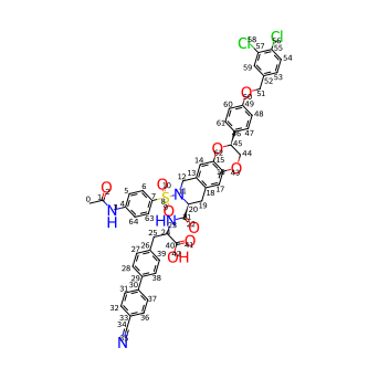 CC(=O)Nc1ccc(S(=O)(=O)N2Cc3cc4c(cc3C[C@H]2C(=O)NC(Cc2ccc(-c3ccc(C#N)cc3)cc2)C(=O)O)OC[C@H](c2ccc(OCc3ccc(Cl)c(Cl)c3)cc2)O4)cc1